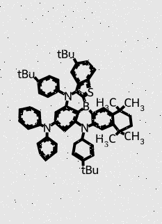 CC(C)(C)C1=CCC(N2c3cc4c(cc3B3c5sc6ccc(C(C)(C)C)cc6c5N(c5ccc(C(C)(C)C)cc5)c5cc(N(c6ccccc6)c6ccccc6)cc2c53)C(C)(C)CCC4(C)C)C=C1